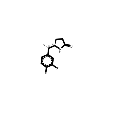 O=C1CC[C@H]([C@@H](F)c2ccc(F)c(F)c2)N1